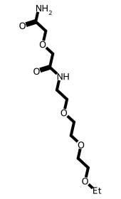 CCOCCOCCOCCNC(=O)COCC(N)=O